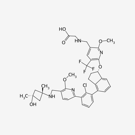 COc1nc(-c2cccc(-c3cccc4c3CC[C@@H]4Oc3nc(OC)c(CNCC(=O)O)cc3C(F)(F)F)c2Cl)ccc1CN[C@]1(C)C[C@@](C)(O)C1